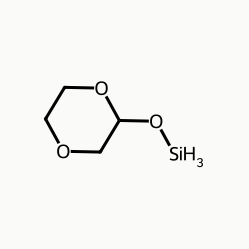 [SiH3]OC1COCCO1